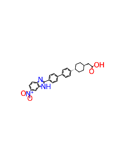 O=C(O)C[C@H]1CC[C@H](c2ccc(-c3ccc(-c4nc5ccc([N+](=O)[O-])cc5[nH]4)cc3)cc2)CC1